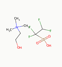 C[N+](C)(C)CCO.O=S(=O)(O)C(F)(F)C(F)F